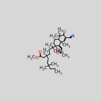 CCCC(C)(C)CC[C@@](C)(CCC(C)(C)[C@]1(C)CCC2C(C)(C)C(=O)C(C#N)=C[C@]2(C)/C1=C/C(C)=O)CC(=O)OC